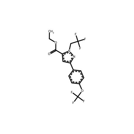 CCOC(=O)c1cc(-c2ccc(OC(F)(F)F)cc2)nn1CC(F)(F)F